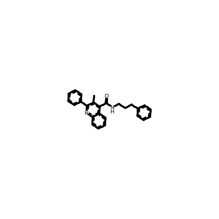 Cc1c(-c2ccccc2)nc2ccccc2c1C(=O)NCCCc1ccccc1